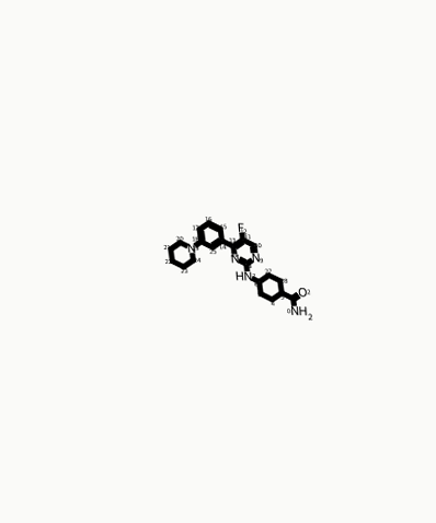 NC(=O)C1CCC(Nc2ncc(F)c(-c3cccc(N4CCCCC4)c3)n2)CC1